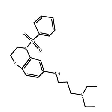 CCN(CC)CCCNc1ccc2c(c1)N(S(=O)(=O)c1ccccc1)CCS2